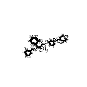 Cc1c(COc2cccc(OCCC3(O)CCOCC3)c2)nc2ccccc2c1OCc1ccccc1